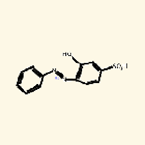 O=S(=O)(O)c1ccc(/N=N/c2ccccc2)c(O)c1